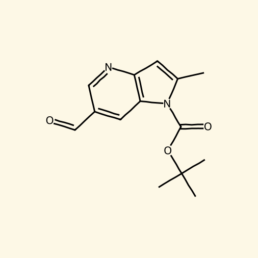 Cc1cc2ncc(C=O)cc2n1C(=O)OC(C)(C)C